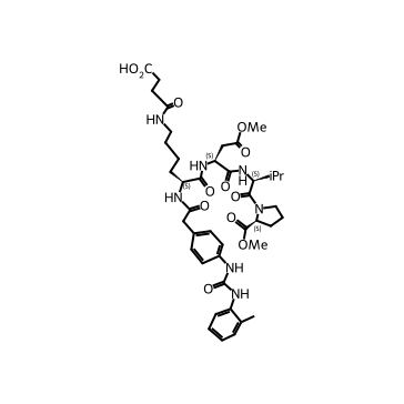 COC(=O)C[C@H](NC(=O)[C@H](CCCCNC(=O)CCC(=O)O)NC(=O)Cc1ccc(NC(=O)Nc2ccccc2C)cc1)C(=O)N[C@H](C(=O)N1CCC[C@H]1C(=O)OC)C(C)C